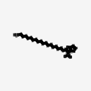 CCCCCCCCCCCCCCCCCCSc1sc2ccsc2c1[N+](=O)[O-]